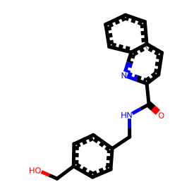 O=C(NCc1ccc(CO)cc1)c1ccc2ccccc2n1